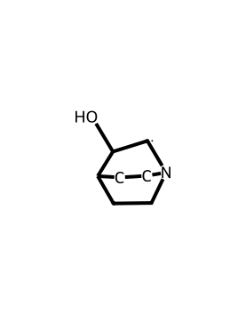 OC1[CH]N2CCC1CC2